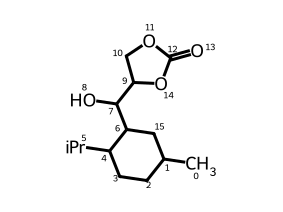 CC1CCC(C(C)C)C(C(O)C2COC(=O)O2)C1